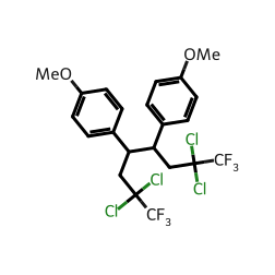 COc1ccc(C(CC(Cl)(Cl)C(F)(F)F)C(CC(Cl)(Cl)C(F)(F)F)c2ccc(OC)cc2)cc1